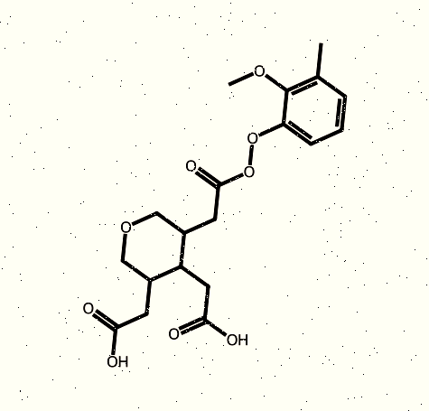 COc1c(C)cccc1OOC(=O)CC1COCC(CC(=O)O)C1CC(=O)O